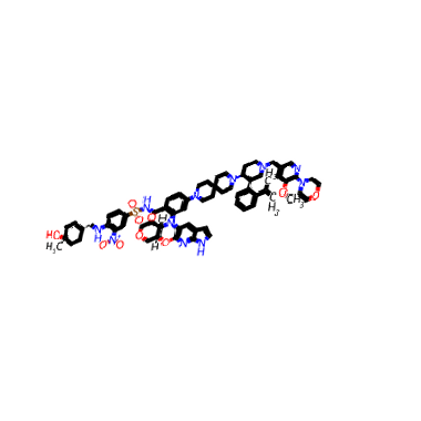 COc1cc(CN2CC[C@H](N3CCC4(CCN(c5ccc(C(=O)NS(=O)(=O)c6ccc(NC[C@H]7CC[C@](C)(O)CC7)c([N+](=O)[O-])c6)c(N6c7cc8cc[nH]c8nc7O[C@H]7COCC[C@@H]76)c5)CC4)CC3)[C@H](c3ccccc3C(C)C)C2)cnc1N1CCOCC1